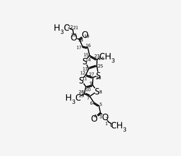 CCOC(=O)/C=C/c1sc2c(sc3c4sc(/C=C/C(=O)OCC)c(C)c4sc23)c1C